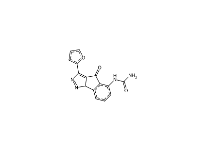 NC(=O)Nc1cccc2c1C(=O)C1=C(c3ccco3)N=NC12